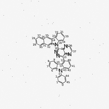 c1ccc(-n2c3ccccc3c3c(-c4nnc(-n5c6ccccc6c6cc7ccccc7cc65)c5nccnc45)cccc32)cc1